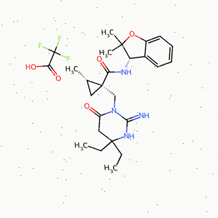 CCC1(CC)CC(=O)N(C[C@]2(C(=O)N[C@H]3c4ccccc4OC3(C)C)C[C@@H]2C)C(=N)N1.O=C(O)C(F)(F)F